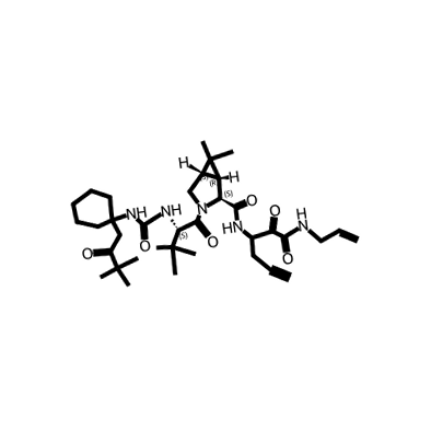 C#CCC(NC(=O)[C@@H]1[C@@H]2[C@H](CN1C(=O)[C@@H](NC(=O)NC1(CC(=O)C(C)(C)C)CCCCC1)C(C)(C)C)C2(C)C)C(=O)C(=O)NCC=C